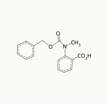 CN(C(=O)OCc1ccccc1)c1ccccc1C(=O)O